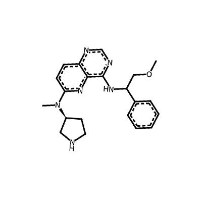 COCC(Nc1ncnc2ccc(N(C)[C@H]3CCNC3)nc12)c1ccccc1